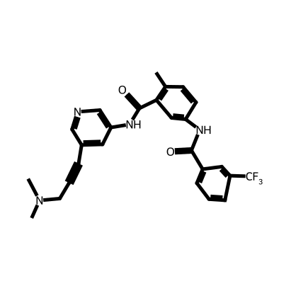 Cc1ccc(NC(=O)c2cccc(C(F)(F)F)c2)cc1C(=O)Nc1cncc(C#CCN(C)C)c1